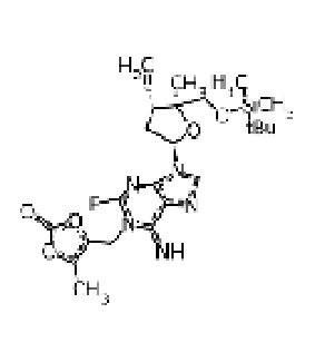 C=C[C@H]1C[C@H](n2cnc3c(=N)n(Cc4oc(=O)oc4C)c(F)nc32)O[C@]1(C)CO[Si](C)(C)C(C)(C)C